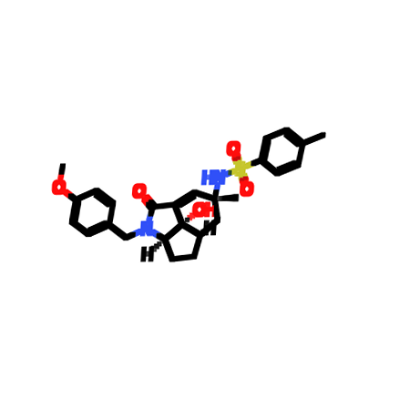 COc1ccc(CN2C(=O)C3=C[C@](C)(NS(=O)(=O)c4ccc(C)cc4)C[C@H]4CC[C@@H]2[C@@]34O)cc1